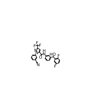 N#Cc1cccc(-n2nc(C(F)(F)F)cc2C(=O)Nc2cccc(C(O)c3cc(F)ccc3F)c2)c1